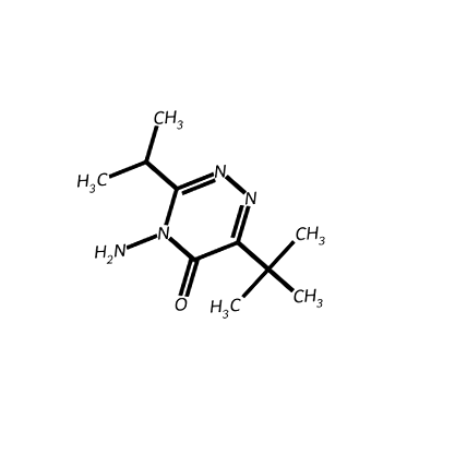 CC(C)c1nnc(C(C)(C)C)c(=O)n1N